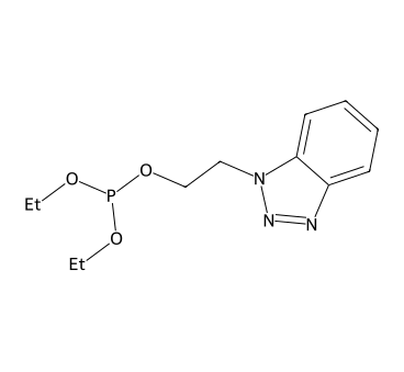 CCOP(OCC)OCCn1nnc2ccccc21